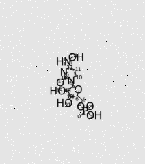 CP(=O)(O)OCC1OC(n2ccc(NO)nc2=O)[C@H](O)[C@@H]1O